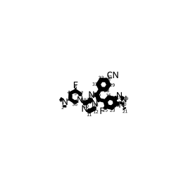 CN(C)[C@@H]1C[C@@H](F)CN(c2nccn3c(-c4cc5nnn(C)c5cc4F)c(-c4ccc(C#N)cc4)nc23)C1